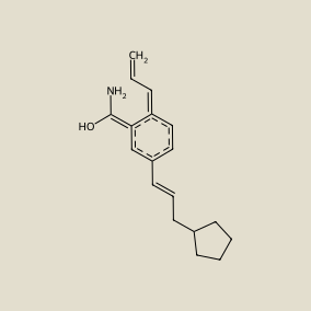 C=C/C=c1/ccc(/C=C/CC2CCCC2)c/c1=C(/N)O